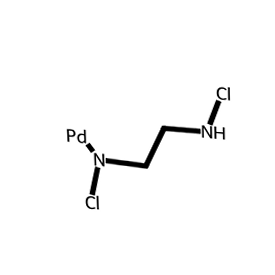 ClNCC[N](Cl)[Pd]